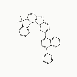 CC1(C)c2ccccc2-c2c1ccc1oc3ccc(-c4ccc(-c5ccccc5)c5ccccc45)cc3c21